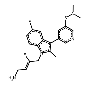 Cc1c(-c2cncc(SN(C)C)c2)c2cc(F)ccc2n1C/C(F)=C/CN